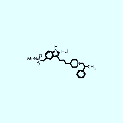 CNS(=O)(=O)Cc1ccc2[nH]cc(CCCC3CCN(CC(C)c4ccccc4)CC3)c2c1.Cl